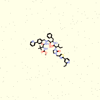 CCc1cc(-c2nc(CN3CCN(C(C(=O)NC(Cc4ccccc4)C(O)CN(Cc4ccc(-c5ccccn5)cc4)NC(=O)C(NC(=O)OC)C(C)(C)C)C(C)CC)C3=O)cs2)ccn1